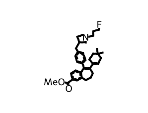 COC(=O)c1ccc2c(c1)CCCC(C1=CCC(C)(C)CC1)=C2c1ccc(CC2CCN(CCCF)C2)cc1